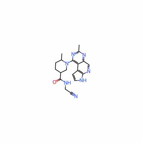 Cc1nc(N2CC(C(=O)NCC#N)CCC2C)c2c(cnc3[nH]ccc32)n1